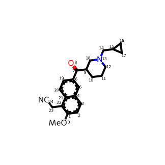 COc1ccc2cc(C(=O)C3CCCN(CC4CC4)C3)ccc2c1CC#N